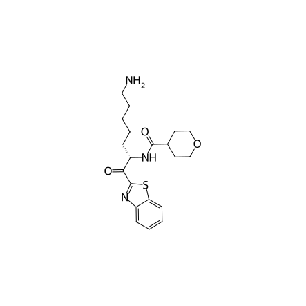 NCCCCC[C@H](NC(=O)C1CCOCC1)C(=O)c1nc2ccccc2s1